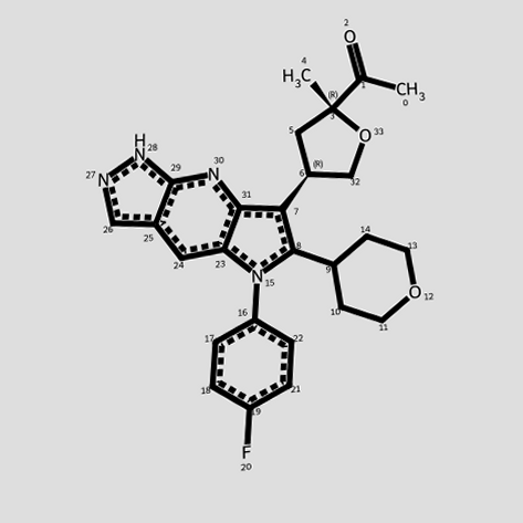 CC(=O)[C@@]1(C)C[C@H](c2c(C3CCOCC3)n(-c3ccc(F)cc3)c3cc4cn[nH]c4nc23)CO1